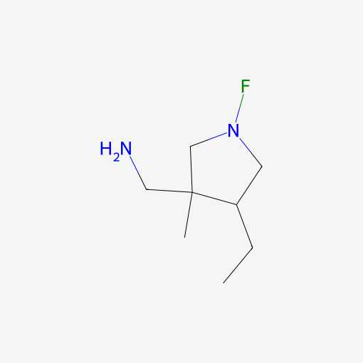 CCC1CN(F)CC1(C)CN